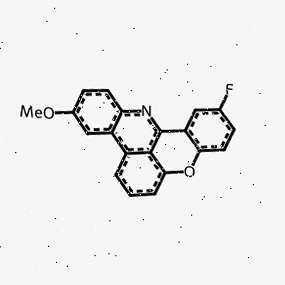 COc1ccc2nc3c4c(cccc4c2c1)Oc1ccc(F)cc1-3